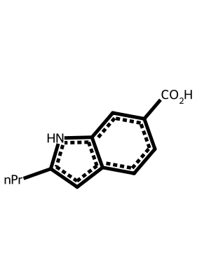 CCCc1cc2ccc(C(=O)O)cc2[nH]1